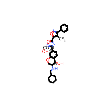 O=C(O)O.O[C@H]1c2ccc(-c3noc(-c4onc(-c5ccccc5)c4C(F)(F)F)n3)cc2OC[C@H]1NCC1CCCCC1